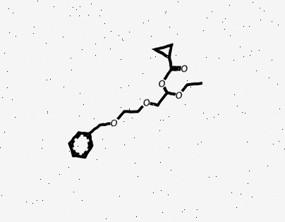 CCOC(COCCOCc1ccccc1)OC(=O)C1CC1